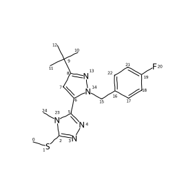 CSc1nnc(-c2cc(C(C)(C)C)nn2Cc2ccc(F)cc2)n1C